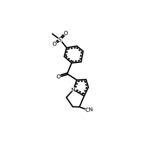 CS(=O)(=O)c1cccc(C(=O)c2ccc3n2CCC3C#N)c1